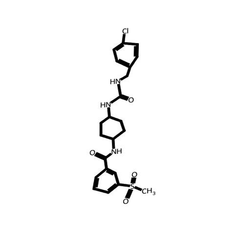 CS(=O)(=O)c1cccc(C(=O)NC2CCC(NC(=O)NCc3ccc(Cl)cc3)CC2)c1